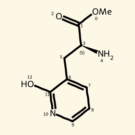 COC(=O)[C@@H](N)Cc1cccnc1O